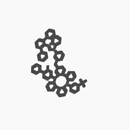 Cc1cc(N2c3ccccc3-c3ccccc3N(c3cccc(C(C)(C)C)c3)c3ccccc3-c3ccc(Cc4cccc(-n5c[n+](-c6c(-c7ccccc7)cccc6-c6ccccc6)c6ccccc65)c4)cc32)ncc1-c1ccccc1